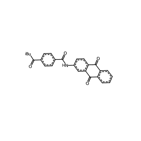 CCC(C)C(=O)c1ccc(C(=O)Nc2ccc3c(c2)C(=O)c2ccccc2C3=O)cc1